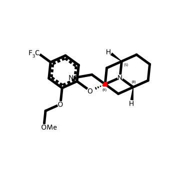 COCOc1cc(C(F)(F)F)ccc1O[C@H]1C[C@H]2CCC[C@@H](C1)N2CCC#N